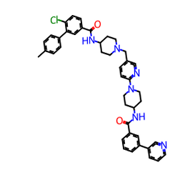 Cc1ccc(-c2cc(C(=O)NC3CCN(Cc4ccc(N5CCC(NC(=O)c6cccc(-c7cccnc7)c6)CC5)nc4)CC3)ccc2Cl)cc1